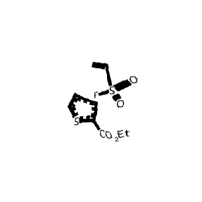 C=CS(=O)(=O)F.CCOC(=O)c1cccs1